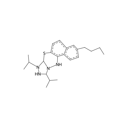 CCCCc1ccc2c3c(ccc2c1)SC1N(C(C)C)NC(C(C)C)N1N3